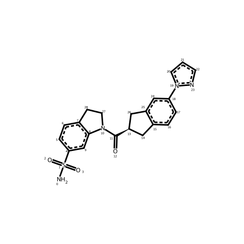 NS(=O)(=O)c1ccc2c(c1)N(C(=O)[C@@H]1Cc3ccc(-n4cccn4)cc3C1)CC2